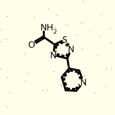 NC(=O)c1nc(-c2cccnc2)ns1